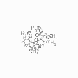 CC[C@@H]1CN2CCC3(C(=O)c4c(OC)cccc4N3C)C2C[C@@H]1/C(=C\OC)C(=O)OC